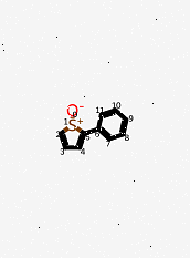 [O-][s+]1cccc1-c1ccccc1